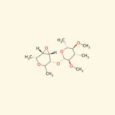 CO[C@H]1[C@H](O[C@@H]2C(C)O[C@H](C)[C@@H]3O[C@@H]32)O[C@H](C)[C@@H](OC)[C@@H]1C